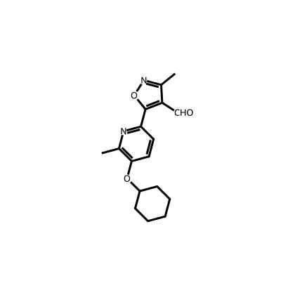 Cc1nc(-c2onc(C)c2C=O)ccc1OC1CCCCC1